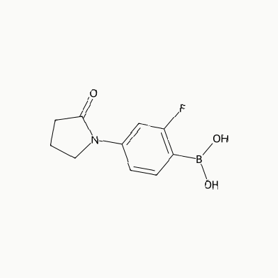 O=C1CCCN1c1ccc(B(O)O)c(F)c1